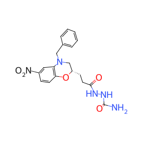 NC(=O)NNC(=O)CC[C@H]1CN(Cc2ccccc2)c2cc([N+](=O)[O-])ccc2O1